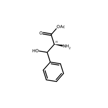 CC(=O)OC(=O)[C@@H](N)C(O)c1ccccc1